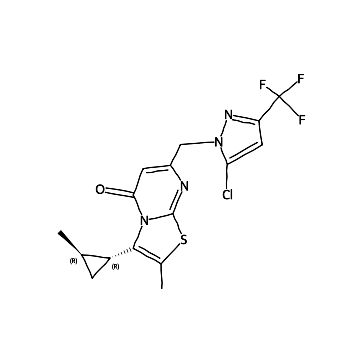 Cc1sc2nc(Cn3nc(C(F)(F)F)cc3Cl)cc(=O)n2c1[C@@H]1C[C@H]1C